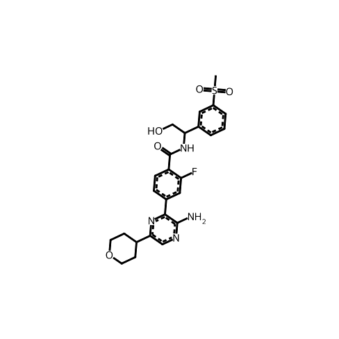 CS(=O)(=O)c1cccc(C(CO)NC(=O)c2ccc(-c3nc(C4CCOCC4)cnc3N)cc2F)c1